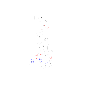 CC(C)C1=C2[C@H]3CC[C@@H]4[C@@]5(C)CC[C@H](OC(=O)CC(C)(C)C(=O)O)C(C)(C)[C@@H]5CC[C@@]4(C)[C@]3(C)CC[C@@]2([C@H](O)CN(C(=O)CN(C)C)[C@H](C)c2ccccn2)CC1=O